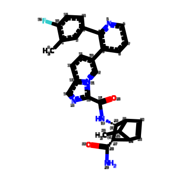 Cc1cc(-c2ncccc2-c2ccc3cnc(C(=O)N[C@@H]4C5C=CC(C5C)[C@@H]4C(N)=O)n3c2)ccc1F